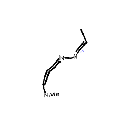 C/C=N\N=C=CNC